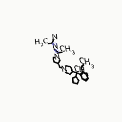 C=C/C(C#N)=N\C=C(/CC)N1CCC(CN2CCC(C(C)(c3ccccc3CCC)C3CCCC3)CC2)C1